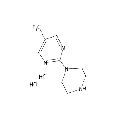 Cl.Cl.FC(F)(F)c1cnc(N2CCNCC2)nc1